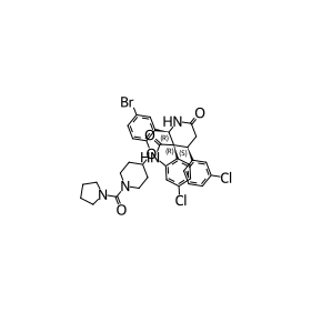 O=C1C[C@@H](c2cccc(Cl)c2)[C@]2(C(=O)Nc3cc(Cl)ccc32)[C@@H](c2cc(Br)ccc2OC2CCN(C(=O)N3CCCC3)CC2)N1